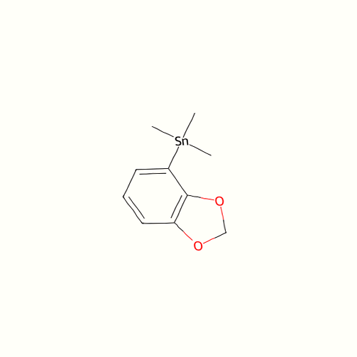 [CH3][Sn]([CH3])([CH3])[c]1cccc2c1OCO2